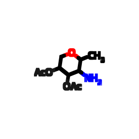 CC(=O)OC1COC(C)C(N)C1OC(C)=O